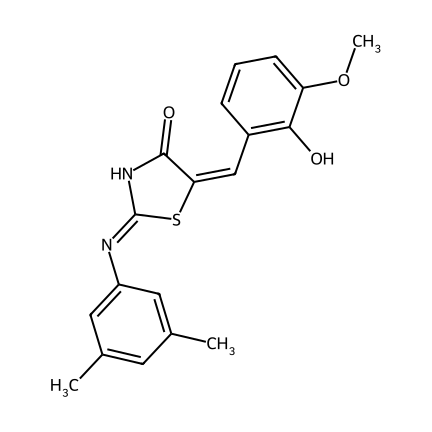 COc1cccc(/C=C2/S/C(=N\c3cc(C)cc(C)c3)NC2=O)c1O